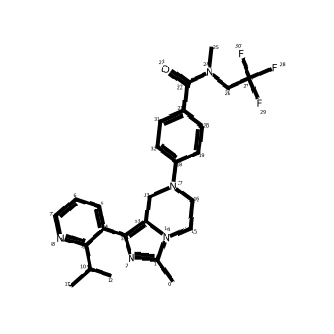 Cc1nc(-c2cccnc2C(C)C)c2n1CCN(c1ccc(C(=O)N(C)CC(F)(F)F)cc1)C2